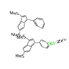 CSC1=CC2=C(c3ccccc3)C=C(SC)C2=C1.CSC1=CC2=C(c3ccccc3)C=C(SC)C2=C1.[Cl-].[Cl-].[Zr+2]